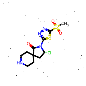 CS(=O)(=O)c1nnc(N2CCC3(CCNCC3)C2=O)s1.Cl